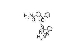 NC(=O)c1cccc(C(=O)c2ccccc2)c1CCCCn1cnc2c(N)nc3ccccc3c21